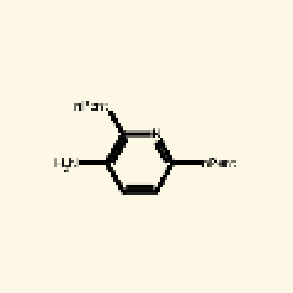 CCCCCc1ccc(N)c(CCCCC)n1